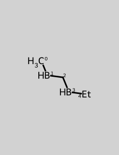 CBCBCC